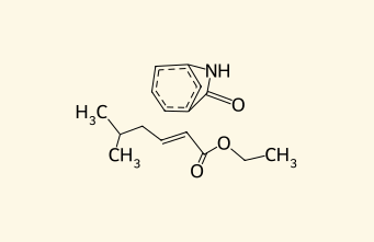 CCOC(=O)C=CCC(C)C.O=C1Nc2cccc1c2